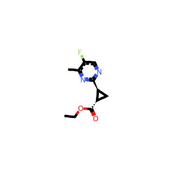 CCOC(=O)[C@H]1C[C@@H]1c1ncc(F)c(C)n1